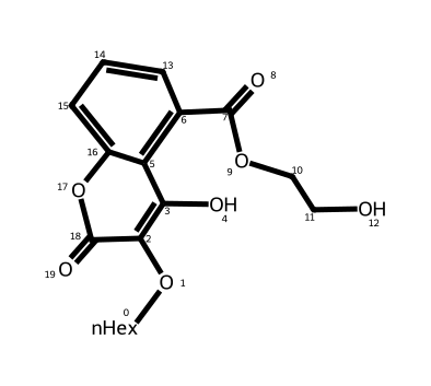 CCCCCCOc1c(O)c2c(C(=O)OCCO)cccc2oc1=O